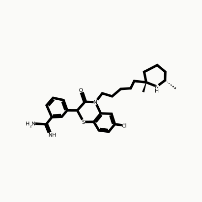 C[C@H]1CCC[C@@](C)(CCCCCN2C(=O)C(c3cccc(C(=N)N)c3)Sc3ccc(Cl)cc32)N1